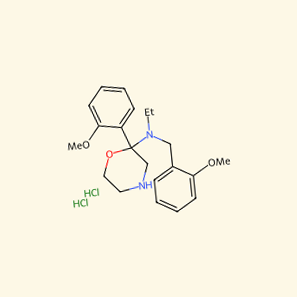 CCN(Cc1ccccc1OC)C1(c2ccccc2OC)CNCCO1.Cl.Cl